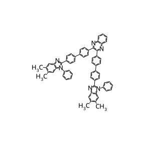 Cc1cc2nc(-c3ccc(-c4ccc(-c5nc6ccccc6nc5-c5ccc(-c6ccc(-c7nc8cc(C)c(C)cc8n7-c7ccccc7)cc6)cc5)cc4)cc3)n(-c3ccccc3)c2cc1C